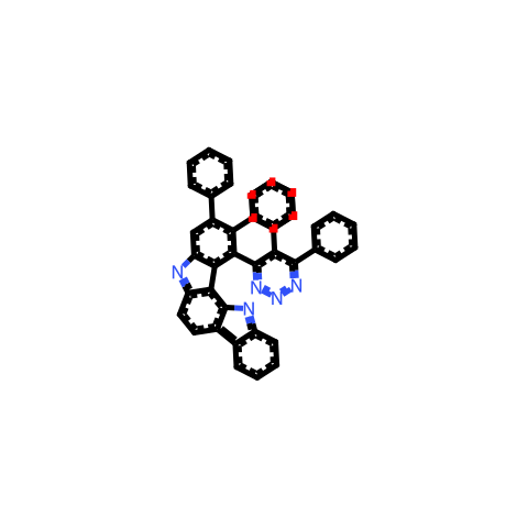 c1ccc(-c2cc3c(c(-c4nnnc(-c5ccccc5)c4-c4ccccc4)c2-c2ccccc2)-c2c4c(ccc2=N3)=c2ccccc2=N4)cc1